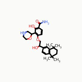 CC1(C)CCC(C)(C)c2cc(C(O)COc3ccc(C(N)=O)c(O)c3C3CNCCO3)ccc21